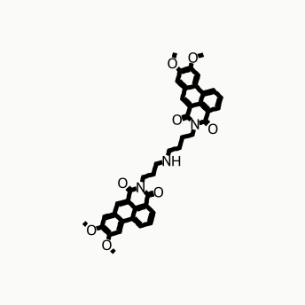 COc1cc2cc3c4c(cccc4c2cc1OC)C(=O)N(CCCCNCCCN1C(=O)c2cccc4c2c(cc2cc(OC)c(OC)cc24)C1=O)C3=O